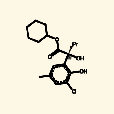 Cc1cc(Cl)c(O)c([C@](O)(C(=O)OC2CCCCC2)C(C)C)c1